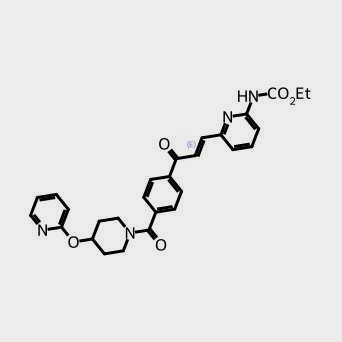 CCOC(=O)Nc1cccc(/C=C/C(=O)c2ccc(C(=O)N3CCC(Oc4ccccn4)CC3)cc2)n1